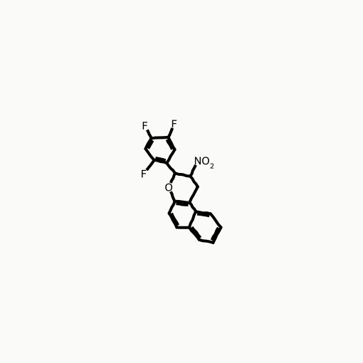 O=[N+]([O-])C1Cc2c(ccc3ccccc23)OC1c1cc(F)c(F)cc1F